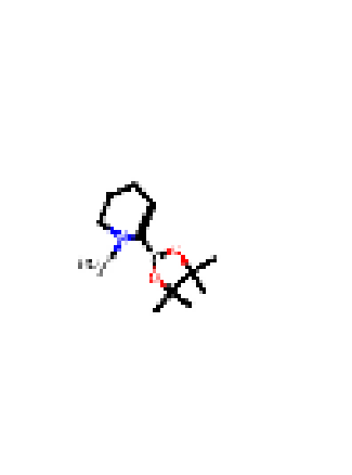 CC1(C)OB(C2=CCCCN2C(=O)O)OC1(C)C